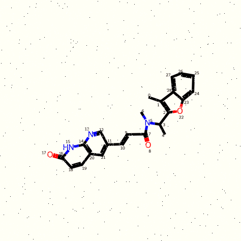 Cc1c(C(C)N(C)C(=O)/C=C/c2cnc3[nH]c(=O)ccc3c2)oc2ccccc12